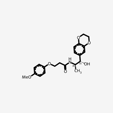 COc1ccc(OCCC(=O)N[C@H](C)[C@@H](O)c2ccc3c(c2)OCCO3)cc1